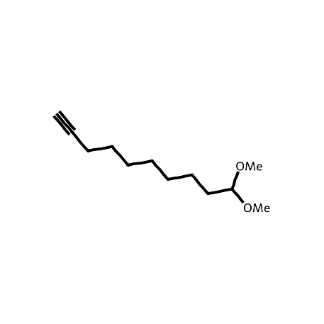 C#CCCCCCCCC(OC)OC